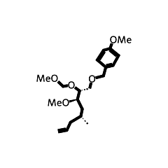 C=CC[C@@H](C)C[C@@H](OC)[C@@H](COCc1ccc(OC)cc1)OCOC